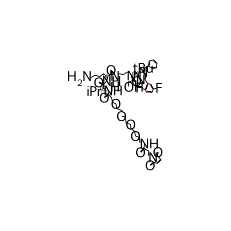 CC(C)[C@H](NC(=O)CCOCCOCCOCCOCCNC(=O)CCN1C(=O)C=CC1=O)C(=O)N[C@@H](CCCCN)C(=O)NCCCN(C(=O)CO)[C@@H](c1nc(-c2cc(F)ccc2F)cn1Cc1ccccc1)C(C)(C)C